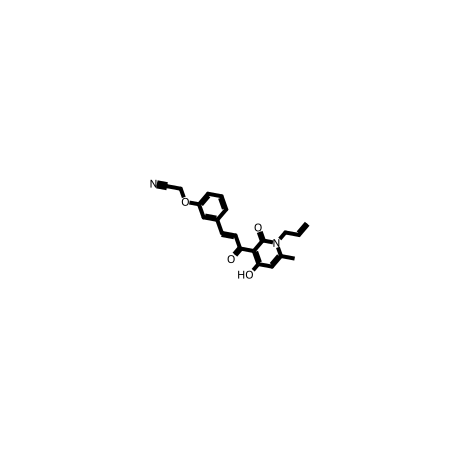 C=CCn1c(C)cc(O)c(C(=O)C=Cc2cccc(OCC#N)c2)c1=O